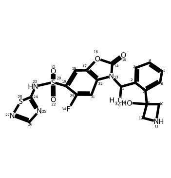 CC(c1ccccc1C1(O)CNC1)n1c(=O)oc2cc(S(=O)(=O)Nc3ncns3)c(F)cc21